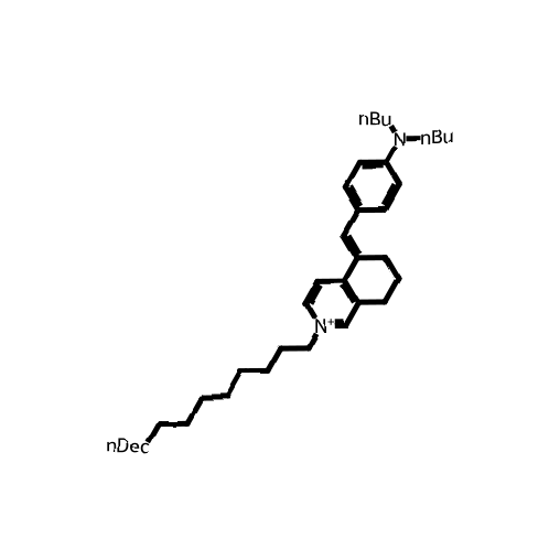 CCCCCCCCCCCCCCCCCC[n+]1ccc2c(c1)CCC/C2=C\c1ccc(N(CCCC)CCCC)cc1